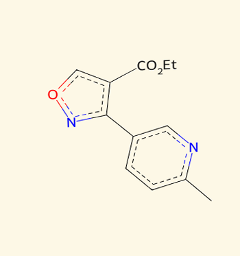 CCOC(=O)c1conc1-c1ccc(C)nc1